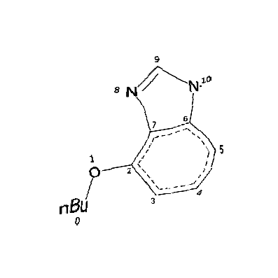 CCCCOc1cccc2c1N=C[N]2